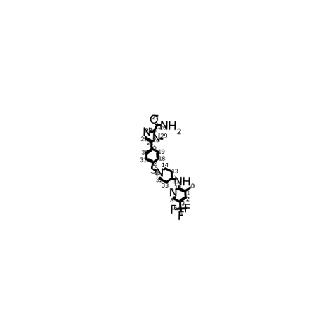 Cc1cc(C(F)(F)F)cnc1NC1CCN(Sc2ccc(-c3cnc(C(N)=O)n3C)cc2)CC1